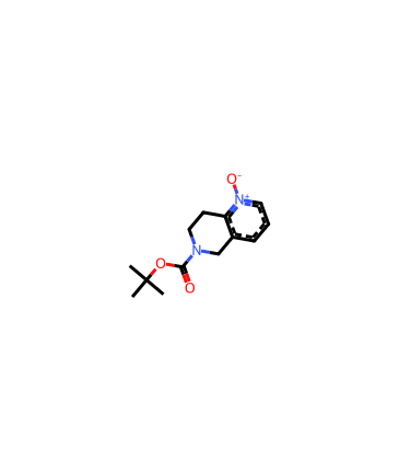 CC(C)(C)OC(=O)N1CCc2c(ccc[n+]2[O-])C1